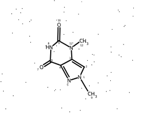 Cn1cc2c(n1)c(=O)[nH]c(=O)n2C